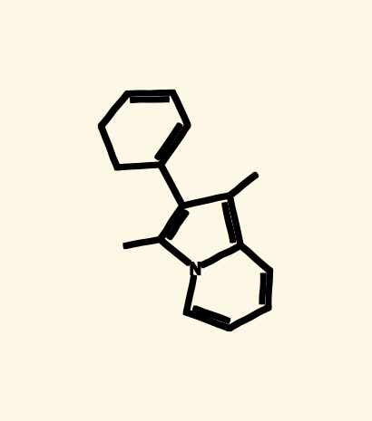 Cc1c(C2=CC=CCC2)c(C)n2ccccc12